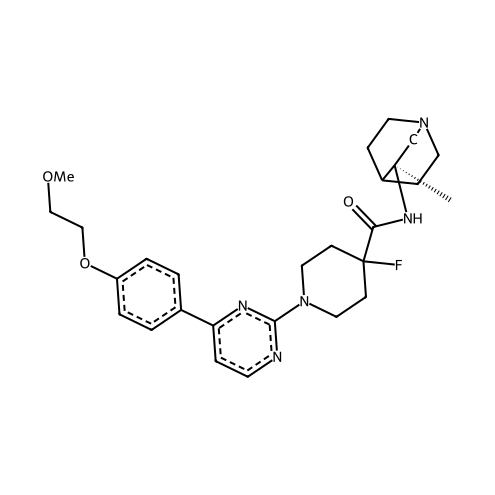 COCCOc1ccc(-c2ccnc(N3CCC(F)(C(=O)N[C@]4(C)CN5CCC4CC5)CC3)n2)cc1